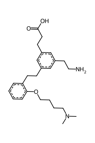 CN(C)CCCCOc1ccccc1CCc1cc(CCN)cc(CCC(=O)O)c1